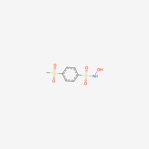 CS(=O)(=O)c1ccc(S(=O)(=O)NO)cc1